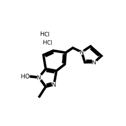 Cc1nc2cc(Cn3ccnc3)ccc2n1O.Cl.Cl